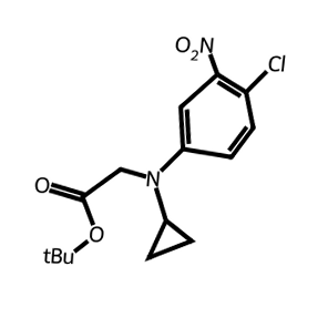 CC(C)(C)OC(=O)CN(c1ccc(Cl)c([N+](=O)[O-])c1)C1CC1